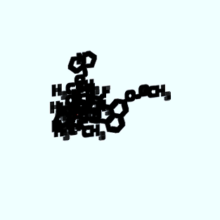 COCOc1cc(-c2ncc3c(N4C[C@H]5C=C[C@@H](C4)N5C(=O)OC(C)(C)C)nc(OCC45CCCN4CCC5)nc3c2F)c2c(C#C[Si](C(C)C)(C(C)C)C(C)C)cccc2c1